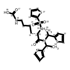 CC(c1cccs1)N(C(=O)[C@H](CCCCNC(=O)O)NS(=O)(=O)c1cccs1)C(C)c1cccs1